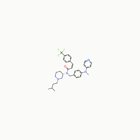 CC(C)CCN1CCC[C@H](N(Cc2ccc(N(C)c3ccncc3)cc2)C(=O)C=Cc2ccc(C(F)(F)F)cc2)C1